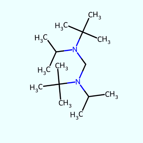 CC(C)N(CN(C(C)C)C(C)(C)C)C(C)(C)C